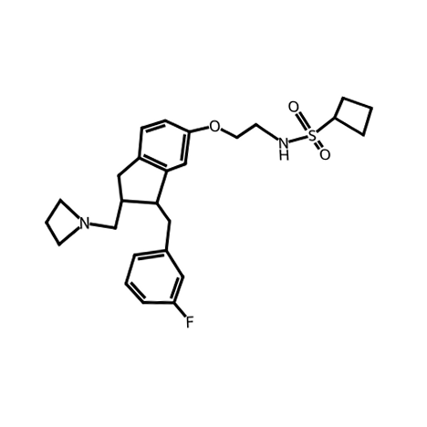 O=S(=O)(NCCOc1ccc2c(c1)C(Cc1cccc(F)c1)C(CN1CCC1)C2)C1CCC1